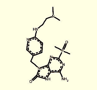 CN(C)CCNc1ccc(Cn2c(=O)[nH]c3c(N)nc(P(C)(C)=O)nc32)cn1